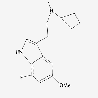 COc1cc(F)c2[nH]cc(CCN(C)C3CCC3)c2c1